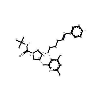 Cc1cc(C)nc(C[C@@H]2CN(C(=O)OC(C)(C)C)C[C@@H]2OCCC/C=C/c2ccccc2)c1